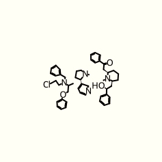 CC(COc1ccccc1)N(CCCl)Cc1ccccc1.CN1CCC[C@H]1c1cccnc1.CN1[C@@H](CC(=O)c2ccccc2)CCC[C@H]1C[C@H](O)c1ccccc1